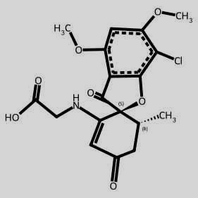 COc1cc(OC)c2c(c1Cl)O[C@]1(C2=O)C(NCC(=O)O)=CC(=O)C[C@H]1C